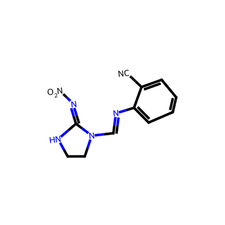 N#Cc1ccccc1N=CN1CCNC1=N[N+](=O)[O-]